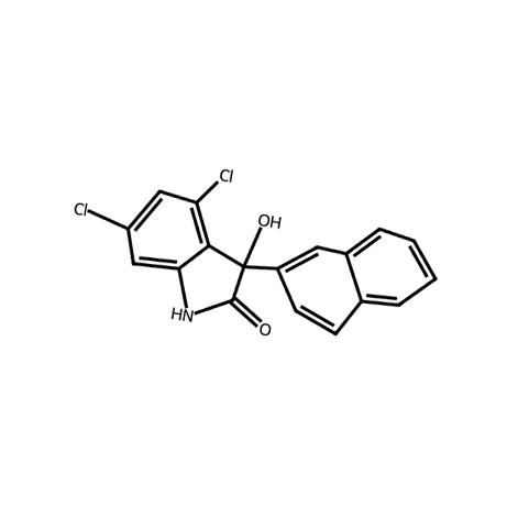 O=C1Nc2cc(Cl)cc(Cl)c2C1(O)c1ccc2ccccc2c1